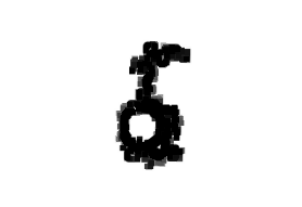 CN1CCCCCOc2cc3c(ncnc3cc2OCCCNC(=O)OC(C)(C)C)Nc2cc(Br)ccc2C1